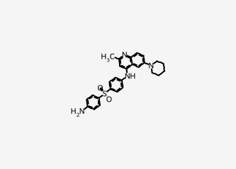 Cc1cc(Nc2ccc(S(=O)(=O)c3ccc(N)cc3)cc2)c2cc(N3CCCCC3)ccc2n1